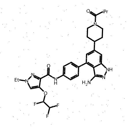 CCn1cc(OC(F)C(F)F)c(C(=O)Nc2ccc(-c3cc(C4CCN(C(=O)C(C)C)CC4)cc4[nH]nc(N)c34)cc2)n1